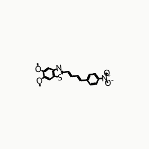 COc1cc2nc(C=CC=Cc3ccc([N+](=O)[O-])cc3)sc2cc1OC